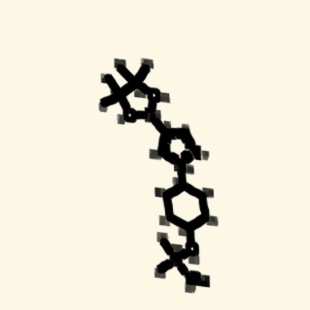 CC1(C)OB(c2cnn(C3CCC(O[Si](C)(C)C(C)(C)C)CC3)c2)OC1(C)C